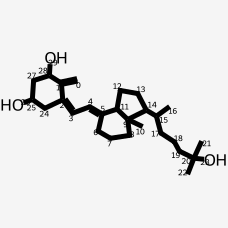 C=C1C(=CC=C2CCCC3(C)C2CCC3C(C)CCCC(C)(C)O)CC(O)CC1O